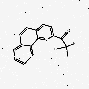 O=C(c1ccc2ccc3ccccc3c2n1)C(F)(F)F